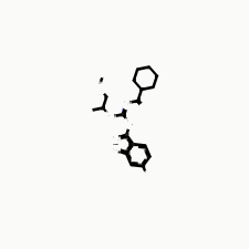 COCC(C)N/C(=N/C(=O)C1CCCCC1)Nc1n[nH]c2cc(F)ccc12